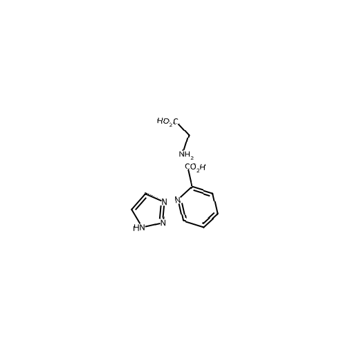 NCC(=O)O.O=C(O)c1ccccn1.c1c[nH]nn1